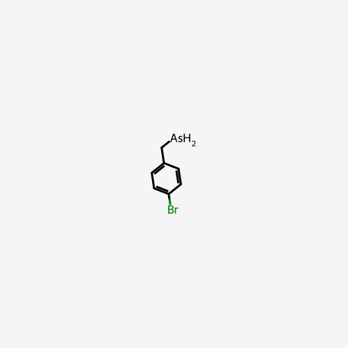 [AsH2]Cc1ccc(Br)cc1